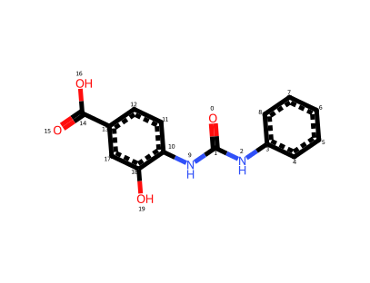 O=C(Nc1ccccc1)Nc1ccc(C(=O)O)cc1O